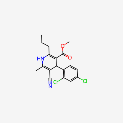 CCCC1=C(C(=O)OC)C(c2ccc(Cl)cc2Cl)C(C#N)=C(C)N1